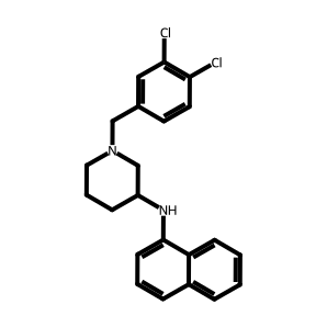 Clc1ccc(CN2CCCC(Nc3cccc4ccccc34)C2)cc1Cl